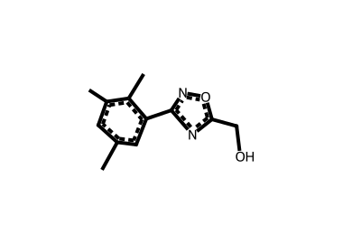 Cc1cc(C)c(C)c(-c2noc(CO)n2)c1